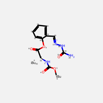 CC[C@H](C)[C@H](NC(=O)OC(C)(C)C)C(=O)Oc1ccccc1/C=N/NC(N)=O